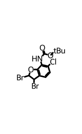 CC(C)(C)OC(=O)Nc1c(Cl)ccc2c1OC(Br)C2Br